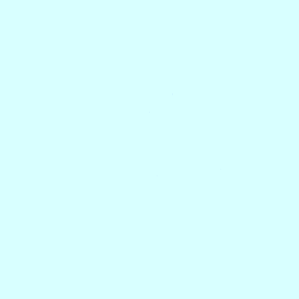 CC(C)(C)C=CCBr.CCC(=O)OC(C)C